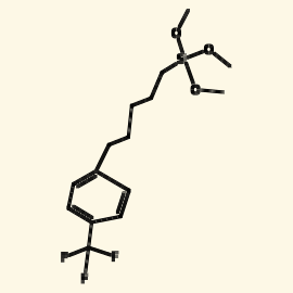 CO[Si](CCCCCc1ccc(C(F)(F)F)cc1)(OC)OC